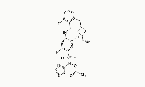 COC1CN(Cc2cccc(F)c2CNc2cc(F)c(S(=O)(=O)N(OC(=O)C(F)(F)F)c3cscn3)cc2Cl)C1